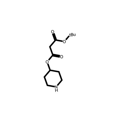 CC(C)(C)OC(=O)CC(=O)OC1CCNCC1